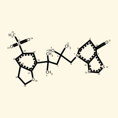 CC(C)(CC(O)(Cn1ccc(=O)c2scnc21)C(F)(F)F)c1cc(S(C)(=O)=O)cc2c1OCC2